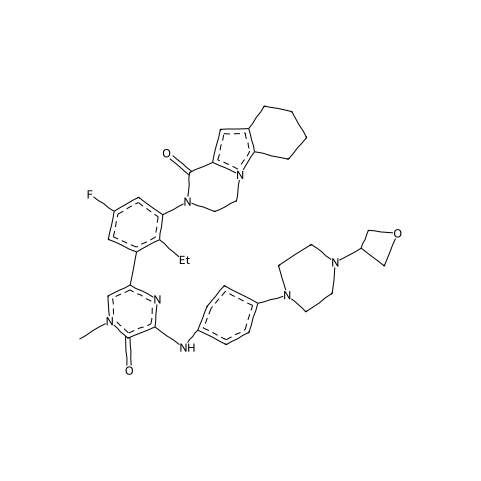 CCc1c(-c2cn(C)c(=O)c(Nc3ccc(N4CCN(C5COC5)CC4)cc3)n2)cc(F)cc1N1CCn2c(cc3c2CCCC3)C1=O